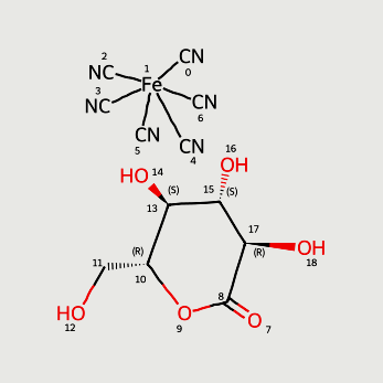 N#[C][Fe]([C]#N)([C]#N)([C]#N)([C]#N)[C]#N.O=C1O[C@H](CO)[C@@H](O)[C@H](O)[C@H]1O